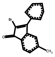 Cc1ccc2c(c1)C(c1ccccc1)=C(Br)C2=O